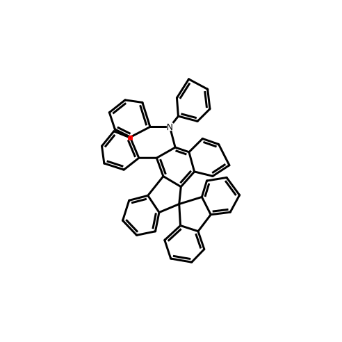 c1ccc(-c2c3c(c4ccccc4c2N(c2ccccc2)c2ccccc2)C2(c4ccccc4-c4ccccc42)c2ccccc2-3)cc1